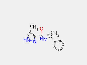 Cc1c[nH]nc1C(=O)N[C@@H](C)c1ccccc1